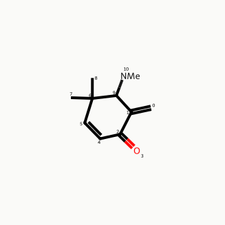 C=C1C(=O)C=CC(C)(C)C1NC